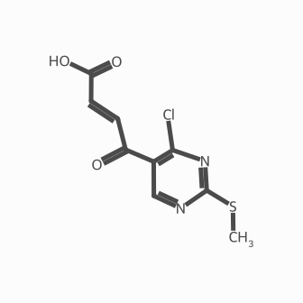 CSc1ncc(C(=O)C=CC(=O)O)c(Cl)n1